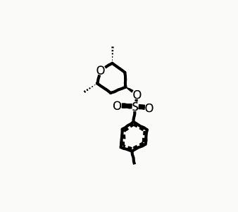 Cc1ccc(S(=O)(=O)O[C@@H]2C[C@@H](C)O[C@@H](C)C2)cc1